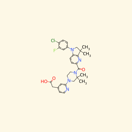 CC1(C)CN(c2ccc(Cl)c(F)c2)c2ccc(C(=O)N3CCN(c4cc(CC(=O)O)ccn4)CC3(C)C)nc21